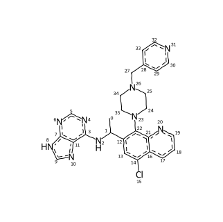 CC(Nc1ncnc2[nH]cnc12)c1cc(Cl)c2cccnc2c1N1CCN(Cc2ccncc2)CC1